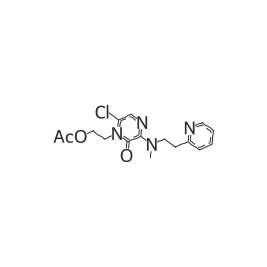 CC(=O)OCCn1c(Cl)cnc(N(C)CCc2ccccn2)c1=O